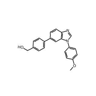 COc1ccc(-n2cnc3ccc(-c4ccc(CO)cc4)cc32)cc1